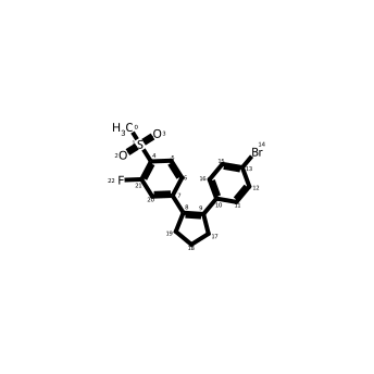 CS(=O)(=O)c1ccc(C2=C(c3ccc(Br)cc3)CCC2)cc1F